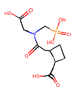 O=C(O)CN(CP(=O)(O)O)C(=O)C1CCC1C(=O)O